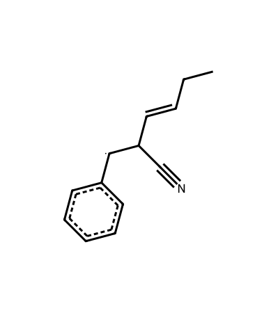 CCC=CC(C#N)[CH]c1ccccc1